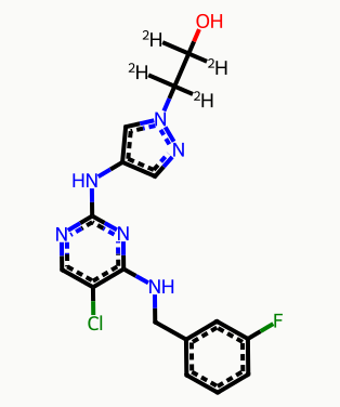 [2H]C([2H])(O)C([2H])([2H])n1cc(Nc2ncc(Cl)c(NCc3cccc(F)c3)n2)cn1